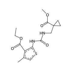 CCOC(=O)c1c(C)csc1NC(=O)NCC1(C(=O)OC)CC1